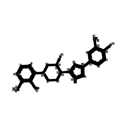 CC(C)c1c(N)ncnc1N1CC[C@H](c2nc(-c3ccc(F)c(C(F)(F)F)c3)c[nH]2)[C@H](F)C1